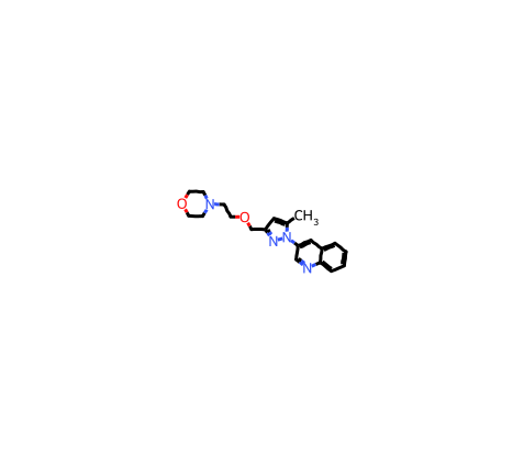 Cc1cc(COCCN2CCOCC2)nn1-c1cnc2ccccc2c1